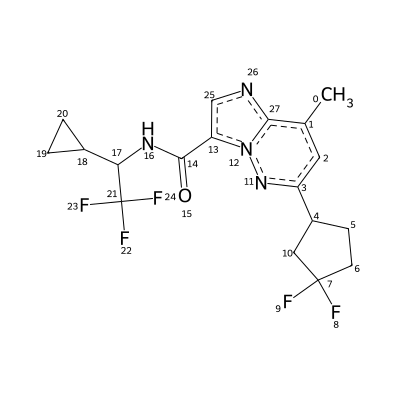 Cc1cc(C2CCC(F)(F)C2)nn2c(C(=O)NC(C3CC3)C(F)(F)F)cnc12